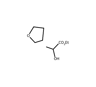 C1CCOC1.CCOC(=O)C(C)O